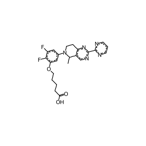 CC1c2cnc(-c3ncccn3)nc2CCN1c1cc(F)c(F)c(OCCCCC(=O)O)c1